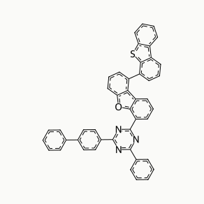 c1ccc(-c2ccc(-c3nc(-c4ccccc4)nc(-c4cccc5c4oc4cccc(-c6cccc7c6sc6ccccc67)c45)n3)cc2)cc1